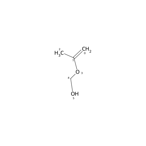 C=C(C)OCO